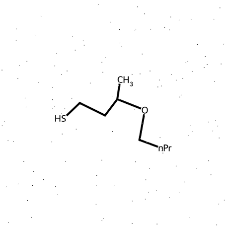 CCCCOC(C)CCS